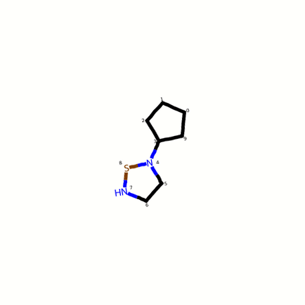 C1CCC(N2CCNS2)C1